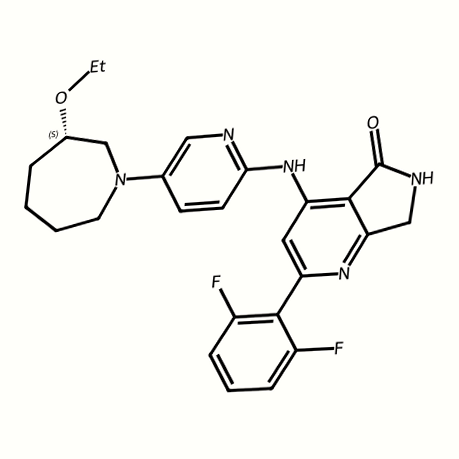 CCO[C@H]1CCCCN(c2ccc(Nc3cc(-c4c(F)cccc4F)nc4c3C(=O)NC4)nc2)C1